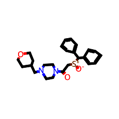 O=C(C[S+]([O-])C(c1ccccc1)c1ccccc1)N1CCN(CC2CCOCC2)CC1